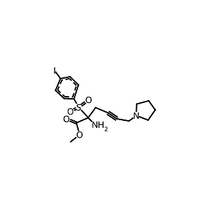 COC(=O)C(N)(CC#CCN1CCCC1)S(=O)(=O)c1ccc(I)cc1